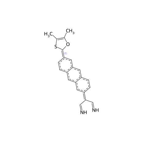 CC1=C(C)S/C(=c2\ccc3cc4cc(=C(C=N)C=N)ccc4cc3c2)O1